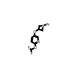 CC(C)N1CC(Oc2ccc(OC(F)F)nc2)C1